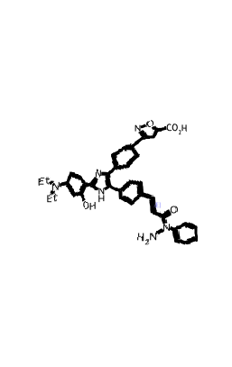 CCN(CC)c1ccc(-c2nc(-c3ccc(C4=NOC(C(=O)O)C4)cc3)c(-c3ccc(/C=C/C(=O)N(N)c4ccccc4)cc3)[nH]2)c(O)c1